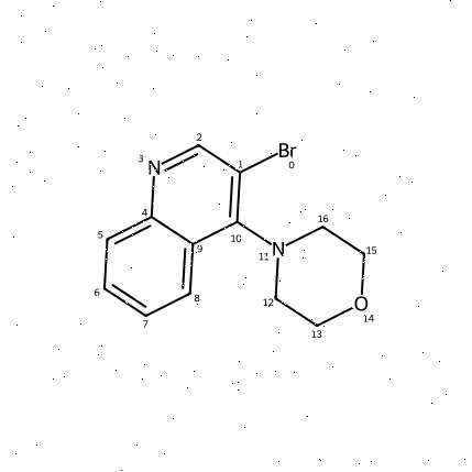 Brc1cnc2ccccc2c1N1CCOCC1